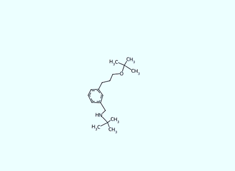 CC(C)(C)NCc1cccc(CCCOC(C)(C)C)c1